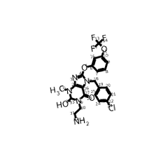 CN1c2nc(Oc3cccc(OC(F)(F)F)c3)n(Cc3ccc(Cl)cc3)c2C(=O)N(CCN)C1O